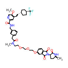 C=C1CCC(N2C(=O)c3ccc(OCCOCCOCCN(C)C(=O)Cc4cccc(CNC(=O)c5cc(/C=C/[C@H]6CC[C@H](C(F)(F)F)CC6)c(OC)cn5)c4)cc3C2=O)C(=O)N1